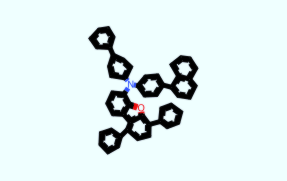 c1ccc(-c2ccc(N(c3ccc(-c4cccc5ccccc45)cc3)c3cccc4c3oc3c(-c5ccccc5)ccc(-c5ccccc5)c34)cc2)cc1